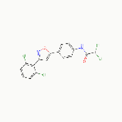 O=C(Nc1ccc(-c2cc(-c3c(Cl)cccc3Cl)no2)cc1)C(Cl)Cl